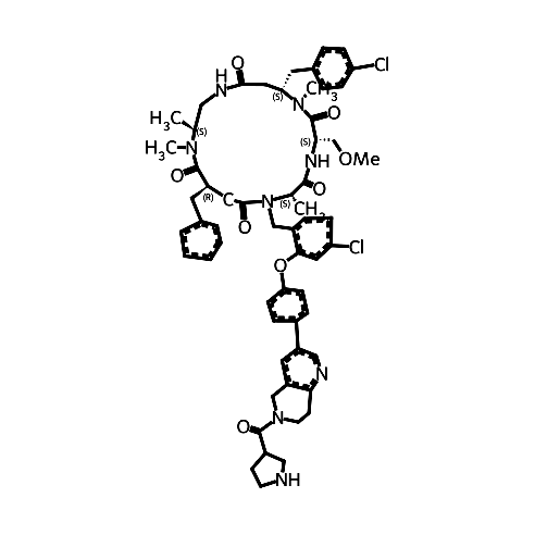 COC[C@@H]1NC(=O)[C@H](C)N(Cc2ccc(Cl)cc2Oc2ccc(-c3cnc4c(c3)CN(C(=O)C3CCNC3)CC4)cc2)C(=O)C[C@@H](Cc2ccccc2)C(=O)N(C)[C@@H](C)CNC(=O)C[C@H](Cc2ccc(Cl)cc2)N(C)C1=O